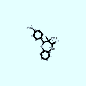 COc1ccc(C2Sc3ccccc3NC(=O)C2(C)C(=O)O)cc1